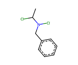 CC(Cl)N(Cl)Cc1ccccc1